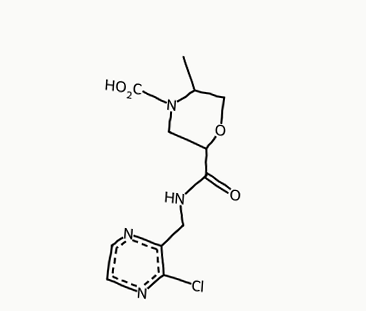 CC1COC(C(=O)NCc2nccnc2Cl)CN1C(=O)O